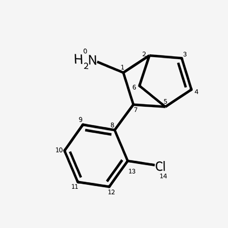 NC1C2C=CC(C2)C1c1ccccc1Cl